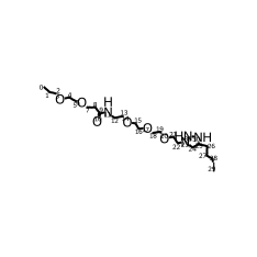 CCCOCCOCCC(=O)NCCOCCOCCOCCN1CC(CCCI)NN1